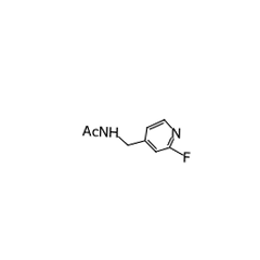 CC(=O)NCc1ccnc(F)c1